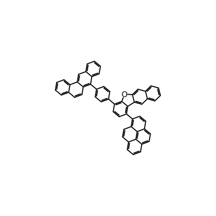 c1ccc2cc3c(cc2c1)oc1c(-c2ccc(-c4c5ccccc5cc5c4ccc4ccccc45)cc2)ccc(-c2ccc4ccc5cccc6ccc2c4c56)c13